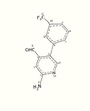 Nc1cc(C=O)c(-c2cccc(C(F)(F)F)c2)cn1